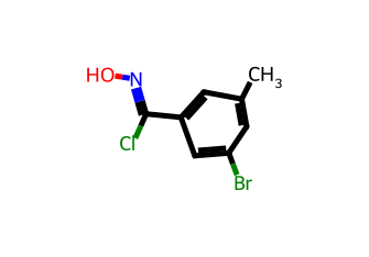 Cc1cc(Br)cc(C(Cl)=NO)c1